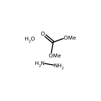 COC(=O)OC.NN.O